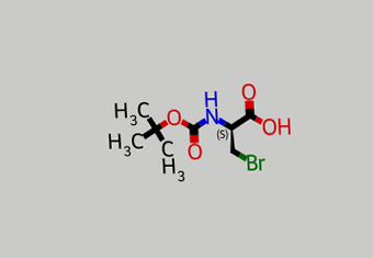 CC(C)(C)OC(=O)N[C@H](CBr)C(=O)O